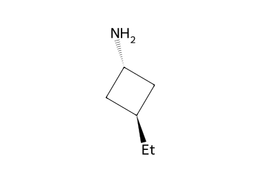 CC[C@H]1C[C@H](N)C1